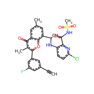 C#Cc1cc(F)cc(-c2oc3c(C(C)Nc4ccc(Cl)nc4C(=O)NS(C)(=O)=O)cc(C)cc3c(=O)c2C)c1